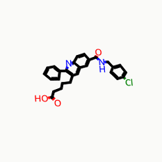 O=C(O)CCCCc1cc2cc(C(=O)NCc3ccc(Cl)cc3)ccc2nc1-c1ccccc1